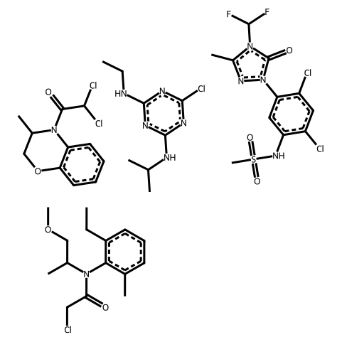 CC1COc2ccccc2N1C(=O)C(Cl)Cl.CCNc1nc(Cl)nc(NC(C)C)n1.CCc1cccc(C)c1N(C(=O)CCl)C(C)COC.Cc1nn(-c2cc(NS(C)(=O)=O)c(Cl)cc2Cl)c(=O)n1C(F)F